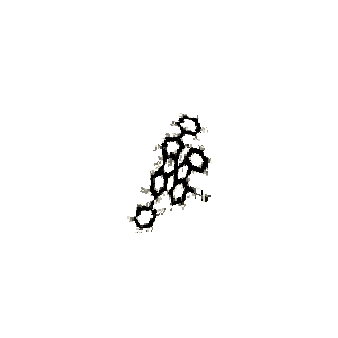 Brc1cccc2c1-c1ccccc1C21c2cc(C3CCCCC3)ccc2-c2ccc(C3CCCCC3)cc21